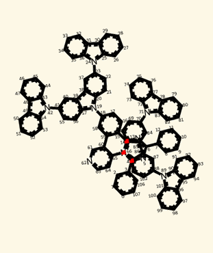 c1ccc(-c2nc(-c3ccccc3)nc(-c3ccc(-n4c5ccc(-n6c7ccccc7c7ccccc76)cc5c5cc(-n6c7ccccc7c7ccccc76)ccc54)cc3-c3cnccc3-n3c4ccc(-n5c6ccccc6c6ccccc65)cc4c4cc(-n5c6ccccc6c6ccccc65)ccc43)n2)cc1